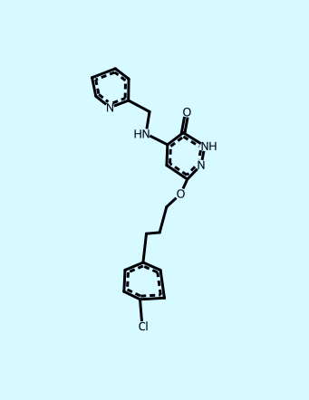 O=c1[nH]nc(OCCCc2ccc(Cl)cc2)cc1NCc1ccccn1